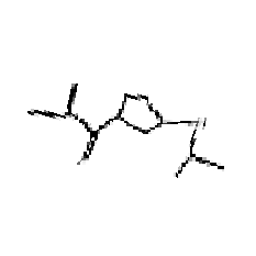 CC(C)NC1CCC(C(=O)C(C)C)C1